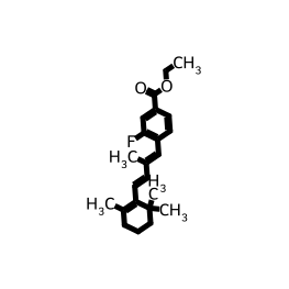 CCOC(=O)c1ccc(/C=C(\C)C=CC2=C(C)CCCC2(C)C)c(F)c1